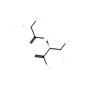 C[C@H](N)C(=O)N[C@H](C(N)=O)[C@@H](C)O